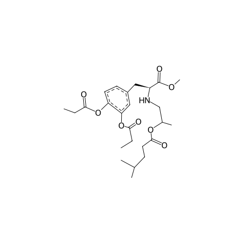 CCC(=O)Oc1ccc(C[C@H](NCC(C)OC(=O)CCC(C)C)C(=O)OC)cc1OC(=O)CC